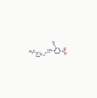 C[n+]1ccn(CCCNc2ccc([N+](=O)[O-])cc2C#N)c1